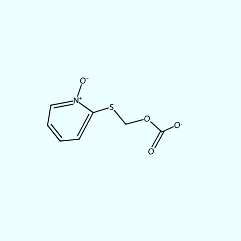 [O]C(=O)OCSc1cccc[n+]1[O-]